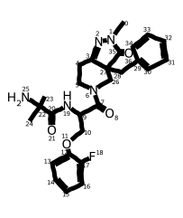 CN1N=C2CCN(C(=O)C(COc3ccccc3F)NC(=O)C(C)(C)N)CC2(Cc2ccccc2)C1=O